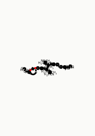 Cc1cc(O[C@@H]2C(C)(C)[C@@H](NC(=O)c3ccc(N4CCO[C@@H](CN5CCN(c6ccc(C(=O)N[C@@H]7CCC(=O)NC7=O)c(F)c6)CC5)C4)cc3)C2(C)CCC2(C)[C@@H](NC(=O)c3ccc(N4CCC(CN5CCOCCCCOc6ccc(C(=O)NC7CCC(=O)NC7=O)cc6O[C@H]6C[C@H]5C6)CC4)cc3)C(C)(C)[C@@H]2Oc2cc(C)c(C#N)c(C)c2)cc(C)c1C#N